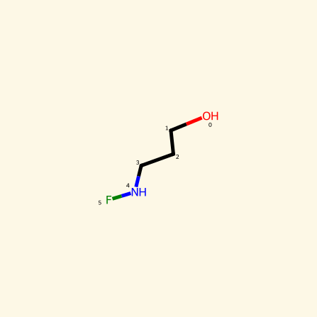 OCCCNF